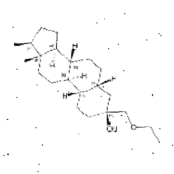 CCOC[C@]1(O)CC[C@H]2[C@H](CC[C@@H]3[C@@H]2CC[C@]2(C)[C@@H](C)CC[C@@H]32)C1